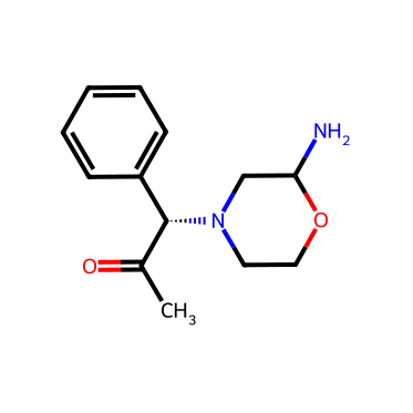 CC(=O)[C@H](c1ccccc1)N1CCOC(N)C1